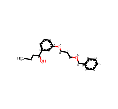 CCCC(O)c1cccc(OCCCOCc2ccccc2)c1